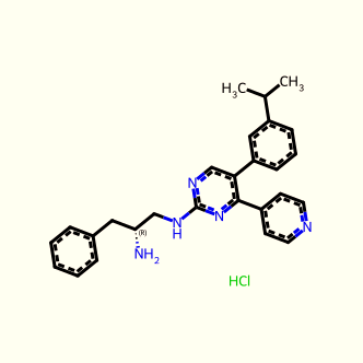 CC(C)c1cccc(-c2cnc(NC[C@H](N)Cc3ccccc3)nc2-c2ccncc2)c1.Cl